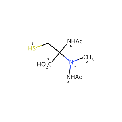 CC(=O)NN(C)C(CS)(NC(C)=O)C(=O)O